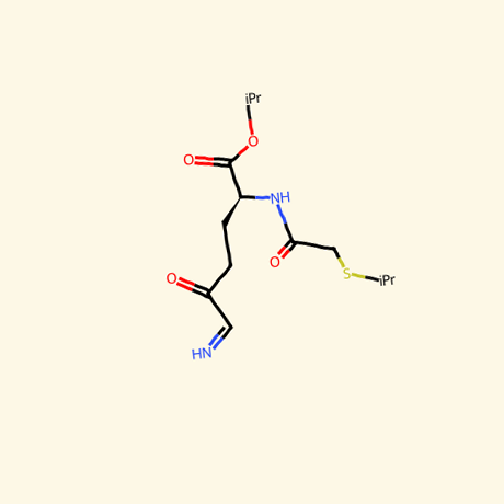 CC(C)OC(=O)[C@H](CCC(=O)C=N)NC(=O)CSC(C)C